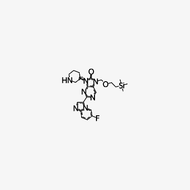 C[Si](C)(C)CCOCn1c(=O)n([C@@H]2CCCNC2)c2nc(-c3cnc4ccc(F)cn34)ncc21